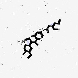 C=C/C=C(\CF)CC(=C)Nc1cnc(C(C)C(/C=C\N)=C2\C=C(C=C)C(C)=CC2)c(C)c1